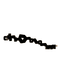 C[Si](C)(Cl)CSc1ccc(COCCOCCN=[N+]=[N-])cc1